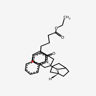 CCOC(=O)CCCc1nc2ccccc2n([C@@H]2CC3CC[C@H](C2)N3C2CC3CCCC(C3)C2)c1=O